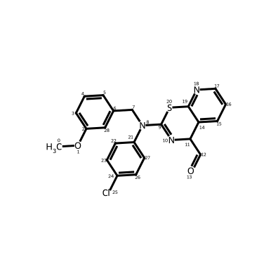 COc1cccc(CN(C2=NC(C=O)c3cccnc3S2)c2ccc(Cl)cc2)c1